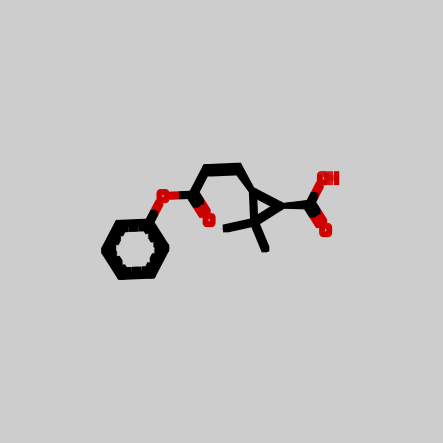 CC1(C)[C@H](C(=O)O)[C@@H]1/C=C\C(=O)Oc1ccccc1